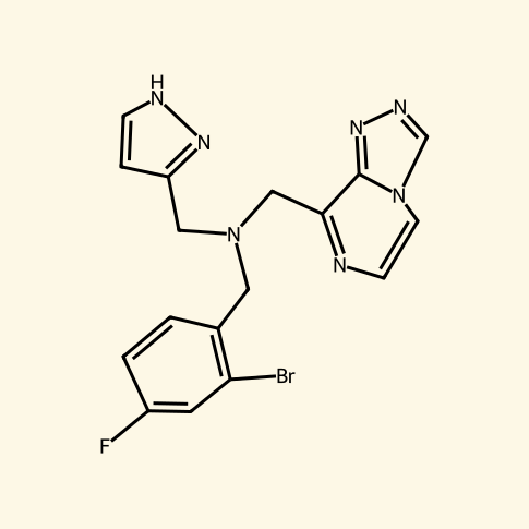 Fc1ccc(CN(Cc2cc[nH]n2)Cc2nccn3cnnc23)c(Br)c1